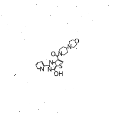 O=C(c1csc2c(O)nc(-c3ccccn3)nc12)N1CCC(N2CCOCC2)CC1